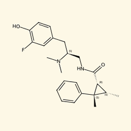 C[C@H]1[C@@H](C(=O)NC[C@H](Cc2ccc(O)c(F)c2)N(C)C)[C@@]1(C)c1ccccc1